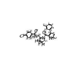 Cc1cccc(-c2sc(C)nc2C(=O)N2C[C@@H]3C[C@@H]3[C@H]2CNC(=O)c2ccc(Cl)cc2)c1